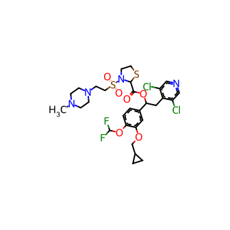 CN1CCN(CCS(=O)(=O)N2CCSC2C(=O)OC(Cc2c(Cl)cncc2Cl)c2ccc(OC(F)F)c(OCC3CC3)c2)CC1